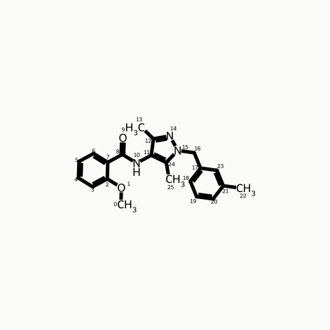 COc1ccccc1C(=O)Nc1c(C)nn(Cc2cccc(C)c2)c1C